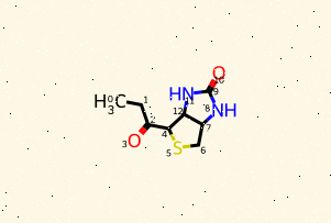 CCC(=O)C1SCC2NC(=O)NC21